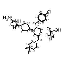 Nc1nnc(N2CCC(N3C[C@H](CN4CCC(F)(F)CC4)OC[C@@H]3Cc3ccc(Cl)cc3)CC2)[nH]1.O=C(O)C(F)(F)F